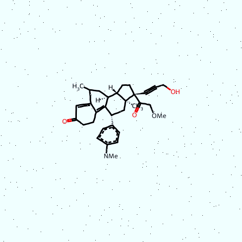 CNc1ccc([C@H]2C[C@@]3(C)[C@@H](CC[C@]3(C#CCO)C(=O)COC)[C@@H]3CC(C)C4=CC(=O)CCC4=C32)cc1